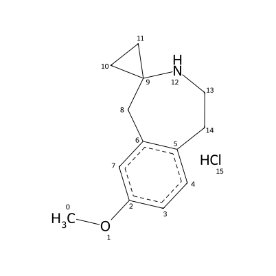 COc1ccc2c(c1)CC1(CC1)NCC2.Cl